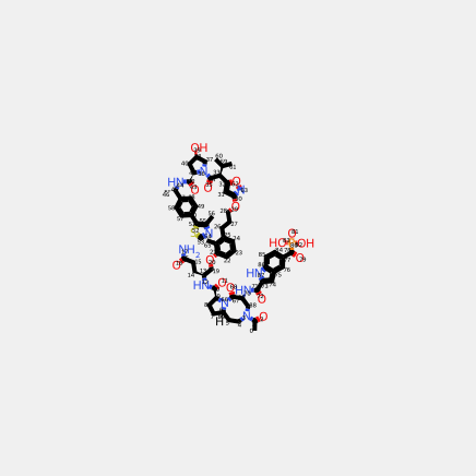 CC(=O)N1CC[C@H]2CC[C@@H](C(=O)N[C@@H](CCC(N)=O)COc3cccc(CCCOc4cc([C@@H](C(=O)N5C[C@H](O)C[C@H]5C(=O)N[C@@H](C)c5ccc(-c6scnc6C)cc5)C(C)C)on4)c3C)N2C(=O)[C@@H](NC(=O)c2cc3cc(C(=O)P(=O)(O)O)ccc3[nH]2)C1